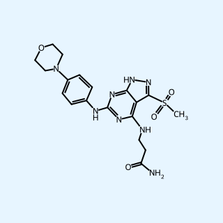 CS(=O)(=O)c1n[nH]c2nc(Nc3ccc(N4CCOCC4)cc3)nc(NCCC(N)=O)c12